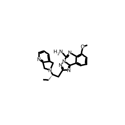 CC[C@@H](Cc1nc2c3cccc(OC)c3nc(N)n2n1)N1Cc2cccnc2C1